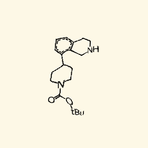 CC(C)(C)OC(=O)N1CCC(c2cccc3c2CNCC3)CC1